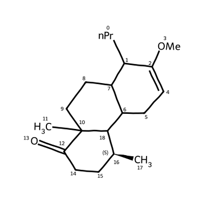 CCCC1C(OC)=CCC2C1CCC1(C)C(=O)CC[C@H](C)C21